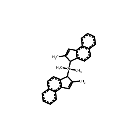 CC1=Cc2c(ccc3ccccc23)[CH]1[Zr]([CH3])([CH3])[CH]1C(C)=Cc2c1ccc1ccccc21